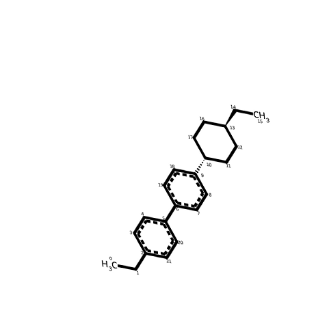 CCc1ccc(-c2ccc([C@H]3CC[C@H](CC)CC3)cc2)cc1